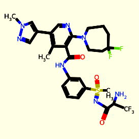 Cc1c(-c2cnn(C)c2)cnc(N2CCCC(F)(F)CC2)c1C(=O)Nc1cccc(S(C)(=O)=NC(=O)C(N)C(F)(F)F)c1